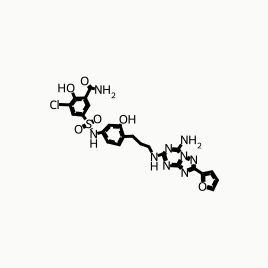 NC(=O)c1cc(S(=O)(=O)Nc2ccc(CCCNc3nc(N)n4nc(-c5ccco5)nc4n3)c(O)c2)cc(Cl)c1O